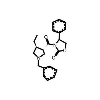 CC[C@@H]1CN(Cc2ccccc2)C[C@H]1C(=O)N1C(=O)OCC1c1ccccc1